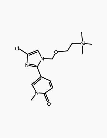 Cn1cc(-c2nc(Cl)cn2COCC[Si](C)(C)C)ccc1=O